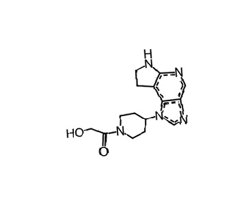 O=C(CO)N1CCC(n2cnc3cnc4c(c32)CCN4)CC1